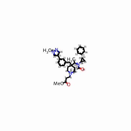 COC(=O)CCN1CCC(Cc2cccc(-c3cnn(C)c3)c2)(C(C)N(C(=O)C(F)(F)F)[C@@H]2C[C@H]2c2ccccc2)CC1